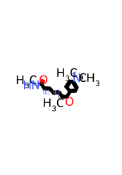 CNC(=O)/C=C/C=C/[C@@H](C)C(=O)c1ccc(N(C)C)cc1